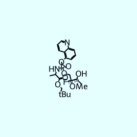 CO[C@](F)(COP(=O)(NC(C)C(=O)OCC(C)(C)C)Oc1cccc2ncccc12)[C@H](C)O